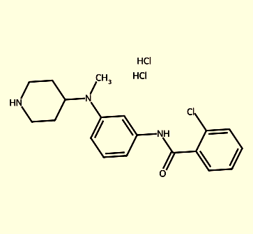 CN(c1cccc(NC(=O)c2ccccc2Cl)c1)C1CCNCC1.Cl.Cl